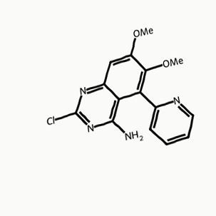 COc1cc2nc(Cl)nc(N)c2c(-c2ccccn2)c1OC